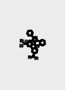 CCN(CC)c1ccc2c(c1)-c1cc(N(CC)CC)ccc1C21Oc2ccccc2-c2nn(-c3ccccc3)c(C)c21